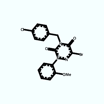 COc1ccccc1-n1nc(Br)c(=O)n(Cc2ccc(Cl)cc2)c1=O